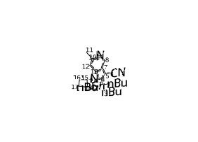 CCC[CH2][Sn]([CH2]CCC)([CH2]CCC)[c]1c(C#N)c2cnc(C)cc2n1C1CCC1